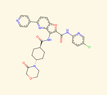 O=C(Nc1ccc(Cl)cn1)c1oc2ccc(-c3ccncc3)nc2c1NC(=O)[C@H]1CC[C@H](N2CCOCC2=O)CC1